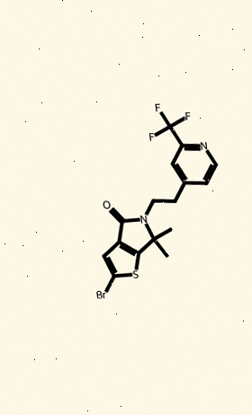 CC1(C)c2sc(Br)cc2C(=O)N1CCc1ccnc(C(F)(F)F)c1